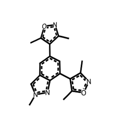 Cc1noc(C)c1-c1cc(-c2c(C)noc2C)c2nn(C)cc2c1